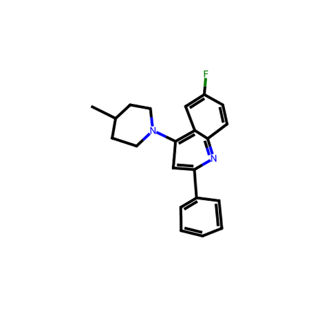 CC1CCN(c2cc(-c3ccccc3)nc3ccc(F)cc23)CC1